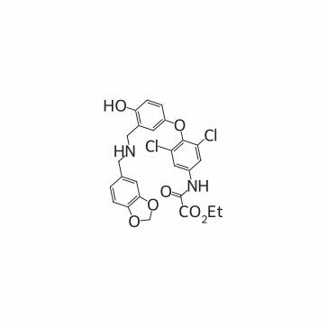 CCOC(=O)C(=O)Nc1cc(Cl)c(Oc2ccc(O)c(CNCc3ccc4c(c3)OCO4)c2)c(Cl)c1